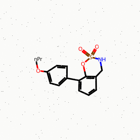 CCCOc1ccc(-c2cccc3c2OS(=O)(=O)NC3)cc1